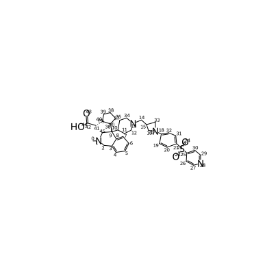 CN1Cc2ccccc2C(C2CCN(CC3CN(c4ccc(S(=O)(=O)c5ccncc5)cc4)C3)CC2)([C@@H]2CCC[C@H]2CC(=O)O)C1